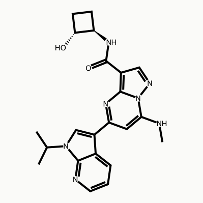 CNc1cc(-c2cn(C(C)C)c3ncccc23)nc2c(C(=O)N[C@@H]3CC[C@H]3O)cnn12